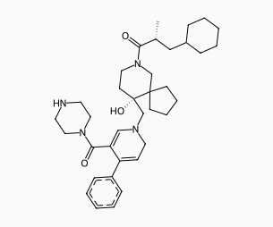 C[C@H](CC1CCCCC1)C(=O)N1CC[C@](O)(CN2C=C(C(=O)N3CCNCC3)C(c3ccccc3)=CC2)C2(CCCC2)C1